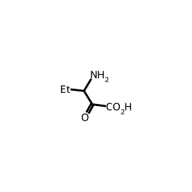 [CH2]CC(N)C(=O)C(=O)O